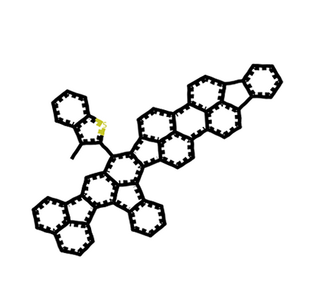 Cc1c(-c2c3cc4c5cccc6cccc(c65)c4c4c5ccccc5c(c5c6ccc7c8ccc9c%10c(ccc(c%11ccc(c25)c6c%117)c%108)-c2ccccc2-9)c34)sc2ccccc12